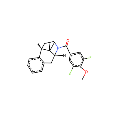 COc1c(F)cc(C(=O)N2CC[C@@]3(C)c4ccccc4C[C@@H]2C3(C)C)cc1F